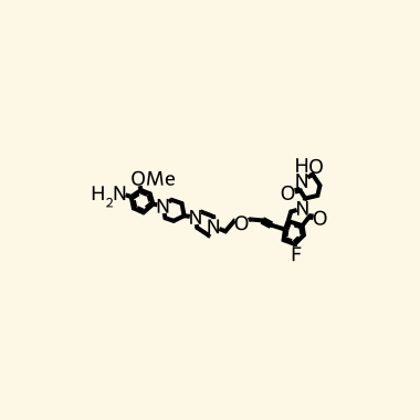 COc1cc(N2CCC(N3CCN(CCOCC#Cc4cc(F)cc5c4CN(C4CCC(=O)NC4=O)C5=O)CC3)CC2)ccc1N